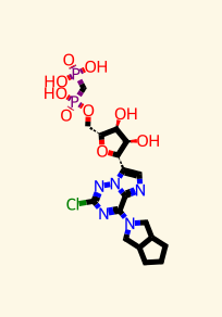 O=P(O)(O)CP(=O)(O)OC[C@H]1O[C@@H](c2cnc3c(N4CC5CCCC5C4)nc(Cl)nn23)[C@H](O)[C@@H]1O